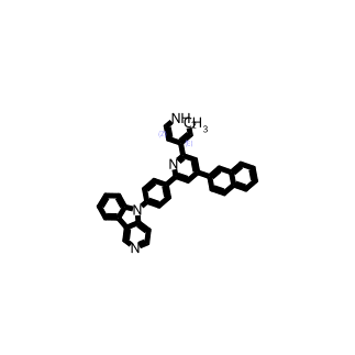 C/C=C(\C=C/N)c1cc(-c2ccc3ccccc3c2)cc(-c2ccc(-n3c4ccccc4c4cnccc43)cc2)n1